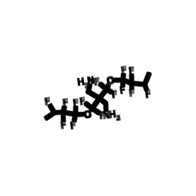 CC(F)C(F)(F)C(F)(F)OC(F)(F)C(CN)(CN)C(F)(F)OC(F)(F)C(F)(F)C(C)F